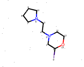 IC1CN(CCN2CCCC2)CCO1